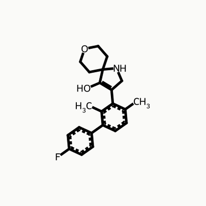 Cc1ccc(-c2ccc(F)cc2)c(C)c1C1=C(O)C2(CCOCC2)NC1